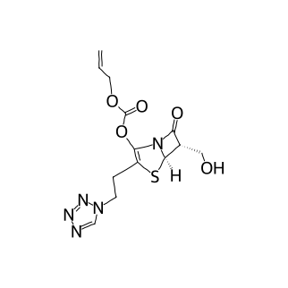 C=CCOC(=O)OC1=C(CCn2cnnn2)S[C@@H]2[C@@H](CO)C(=O)N12